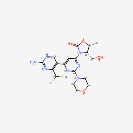 C[C@H]1OC(=O)N(c2cc(-c3cnc(N)nc3C(F)F)nc(N3CCOCC3)n2)[C@H]1CO